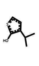 CC(C)c1ccsc1O